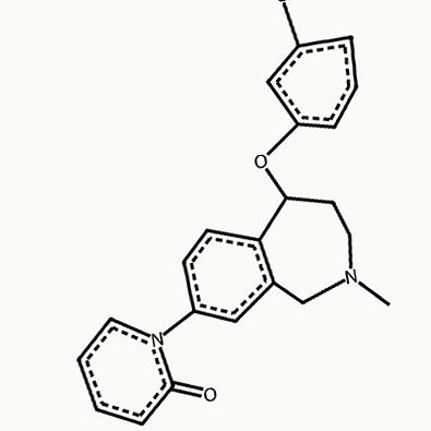 CN1CCC(Oc2cccc(Cl)c2)c2ccc(-n3ccccc3=O)cc2C1